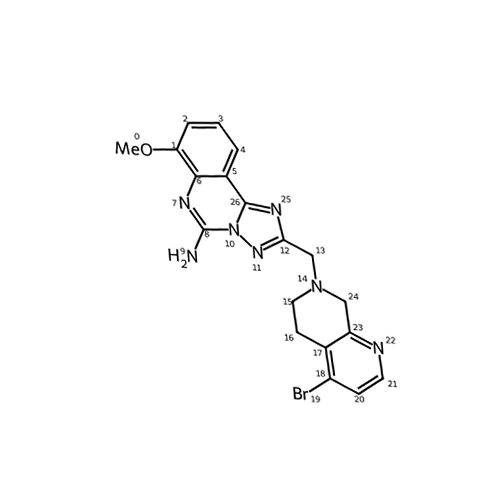 COc1cccc2c1nc(N)n1nc(CN3CCc4c(Br)ccnc4C3)nc21